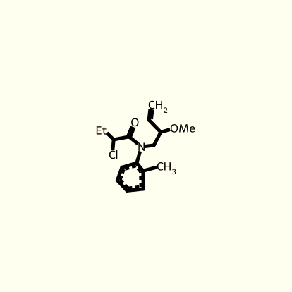 C=CC(CN(C(=O)C(Cl)CC)c1ccccc1C)OC